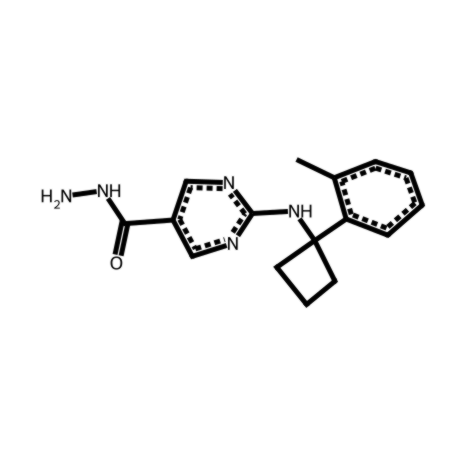 Cc1ccccc1C1(Nc2ncc(C(=O)NN)cn2)CCC1